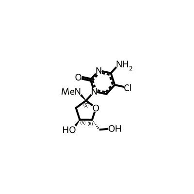 CN[C@]1(n2cc(Cl)c(N)nc2=O)C[C@H](O)[C@@H](CO)O1